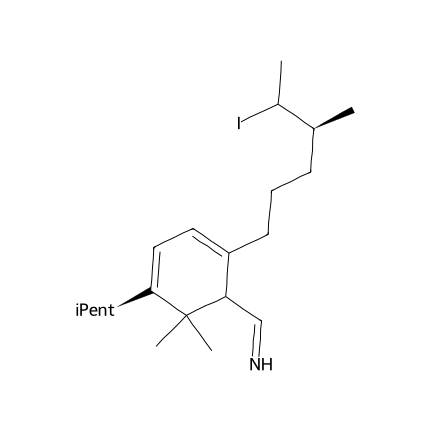 CCC[C@H](C)C1=CC=C(CCC[C@H](C)C(C)I)C(C=N)C1(C)C